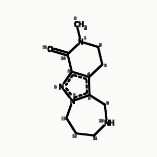 CN1CCc2c(nn3c2CNCCC3)C1=O